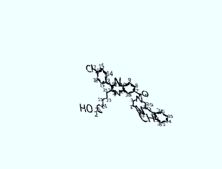 CN1CCN(C(=O)c2ccc3nc(-c4ccc(Cl)cc4)c(CCCCC(=O)O)nc3c2)CC1c1ccccc1